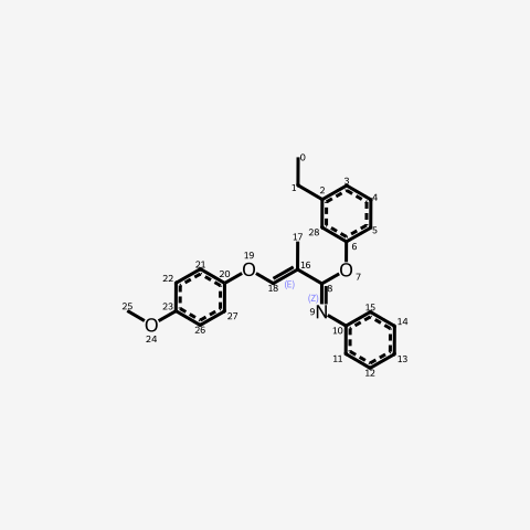 CCc1cccc(OC(=N\c2ccccc2)/C(C)=C/Oc2ccc(OC)cc2)c1